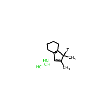 CC1=CC2=C(CCCC2)[C]1(C)[Ti].Cl.Cl.Cl